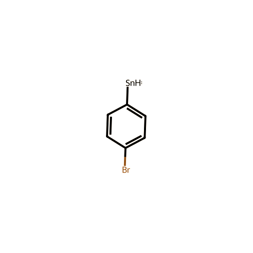 Brc1cc[c]([SnH])cc1